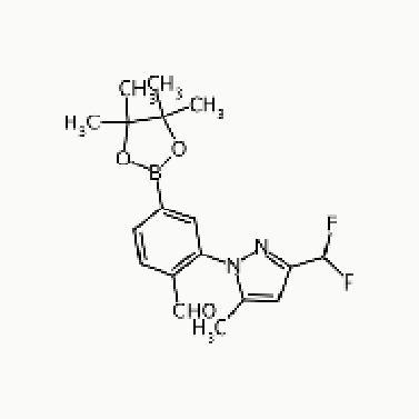 Cc1cc(C(F)F)nn1-c1cc(B2OC(C)(C)C(C)(C)O2)ccc1C=O